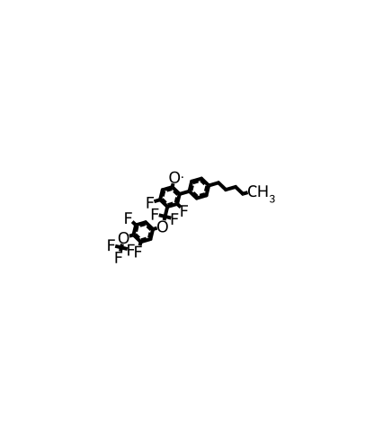 CCCCCc1ccc(-c2c([O])cc(F)c(C(F)(F)Oc3cc(F)c(OC(F)(F)F)c(F)c3)c2F)cc1